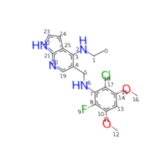 CCNc1c(CNc2c(F)c(OC)cc(OC)c2Cl)cnc2[nH]ccc12